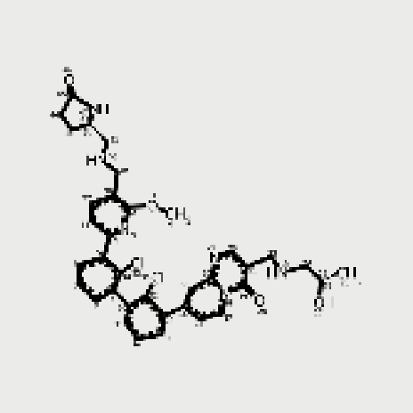 COc1nc(-c2cccc(-c3cccc(-c4ccn5c(=O)c(CNC[C@H](C)O)cnc5c4)c3Cl)c2Cl)ccc1CNC[C@H]1CCC(=O)N1